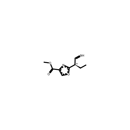 CC[C@H](C=N)c1nc(C(=O)OC)co1